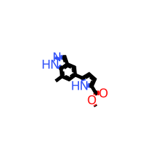 COC(=O)c1ccc(-c2cc(C)c3[nH]ncc3c2)[nH]1